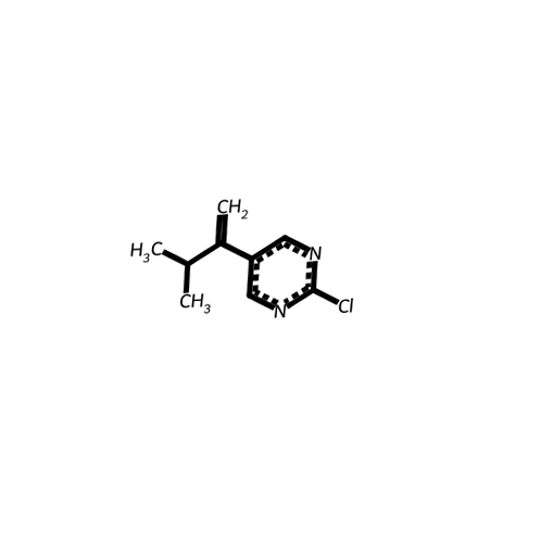 C=C(c1cnc(Cl)nc1)C(C)C